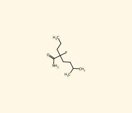 CCCC(F)(CCC(C)C)C(N)=O